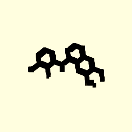 COc1cc2ncnc(Nc3cccc(Cl)c3F)c2cc1N